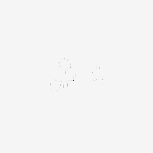 CC(C)(COCC1(CBr)CC1)[SiH](c1ccccc1)c1ccccc1